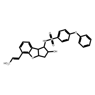 O=C(O)/C=C/c1cccc2c1OC1CC(O)C(NS(=O)(=O)c3ccc(Oc4ccccc4)cc3)C21